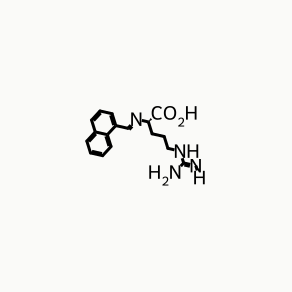 [H]/N=C(\N)NCCC[C@H](N=Cc1cccc2ccccc12)C(=O)O